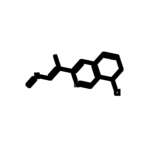 C=N/C=C(\C)c1cc2c(cn1)C(Cl)CC=C2